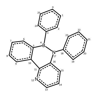 c1ccc(B2c3ccccc3-c3ncccc3N2c2ccccc2)cc1